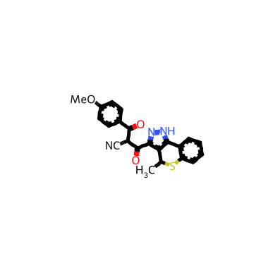 COc1ccc(C(=O)C(C#N)C(=O)c2n[nH]c3c2C(C)Sc2ccccc2-3)cc1